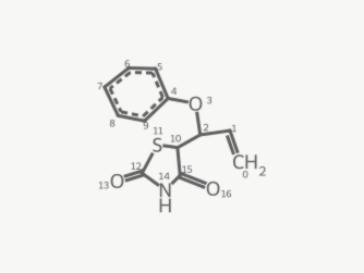 C=CC(Oc1ccccc1)C1SC(=O)NC1=O